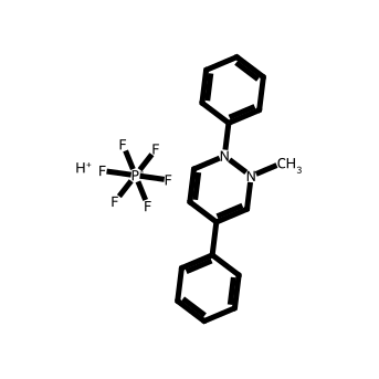 CN1C=C(c2ccccc2)C=CN1c1ccccc1.F[P-](F)(F)(F)(F)F.[H+]